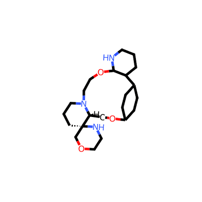 C1CNC2OCCN3CCC[C@]4(COCCN4)[C@H]3COC3CCC(CC3)C2C1